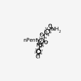 CCCCCC1CN(CC(=O)N2CCC(C(N)=O)CC2)C(=O)c2cc(-c3ccc(Cl)cc3)nn21